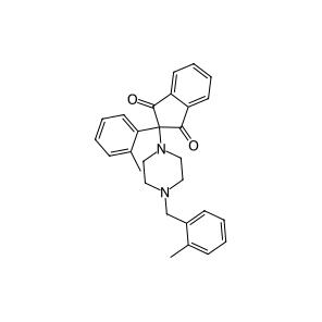 Cc1ccccc1CN1CCN(C2(c3ccccc3C)C(=O)c3ccccc3C2=O)CC1